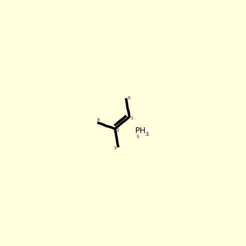 CC=C(C)C.P